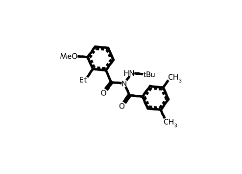 CCc1c(OC)cccc1C(=O)N(NC(C)(C)C)C(=O)c1cc(C)cc(C)c1